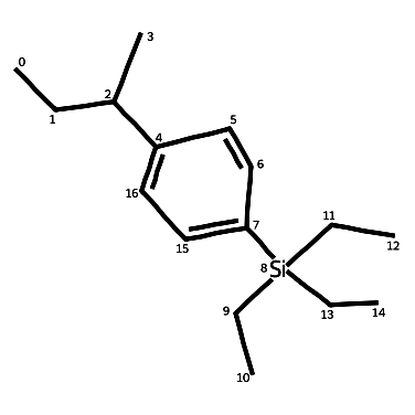 CCC(C)c1ccc([Si](CC)(CC)CC)cc1